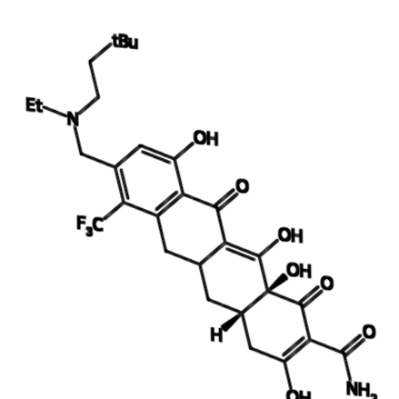 CCN(CCC(C)(C)C)Cc1cc(O)c2c(c1C(F)(F)F)CC1C[C@H]3CC(O)=C(C(N)=O)C(=O)[C@@]3(O)C(O)=C1C2=O